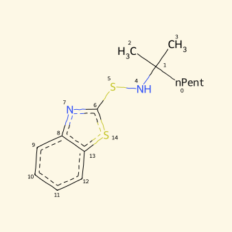 CCCCCC(C)(C)NSc1nc2ccccc2s1